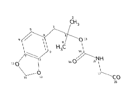 CC(C)(Cc1ccc2c(c1)OCO2)OC(=O)NCC(=O)O